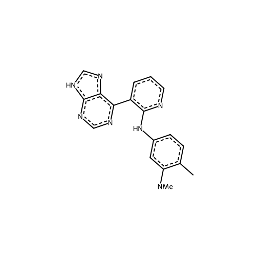 CNc1cc(Nc2ncccc2-c2ncnc3[nH]cnc23)ccc1C